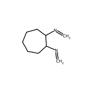 C=NC1CCCCCC1N=C